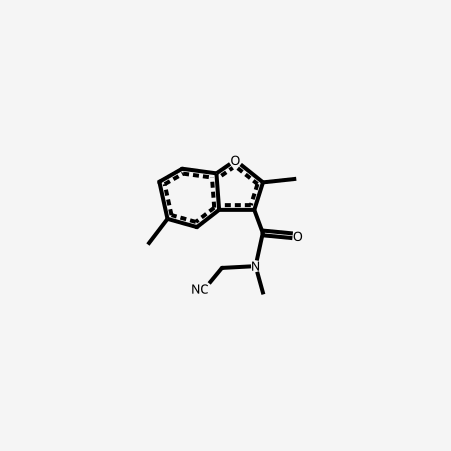 Cc1ccc2oc(C)c(C(=O)N(C)CC#N)c2c1